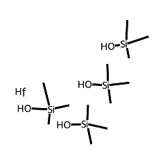 C[Si](C)(C)O.C[Si](C)(C)O.C[Si](C)(C)O.C[Si](C)(C)O.[Hf]